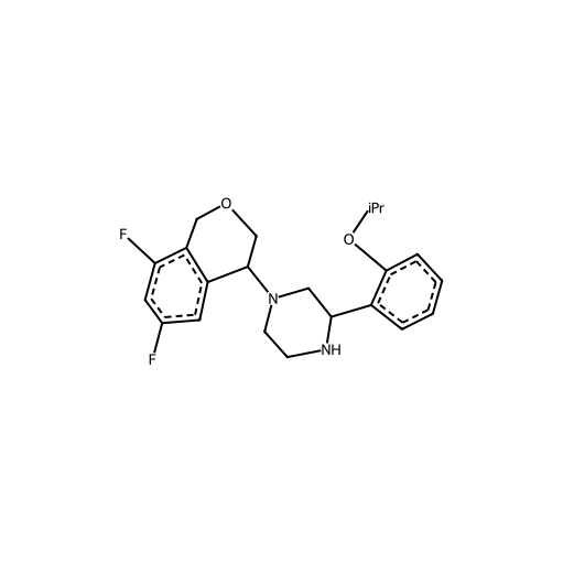 CC(C)Oc1ccccc1C1CN(C2COCc3c(F)cc(F)cc32)CCN1